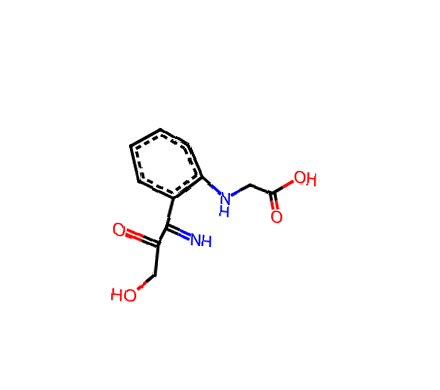 N=C(C(=O)CO)c1ccccc1NCC(=O)O